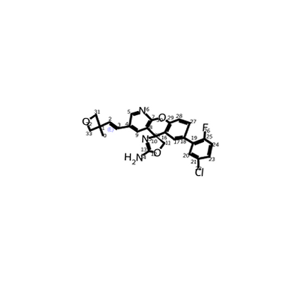 CC1(/C=C/c2cnc3c(c2)[C@]2(COC(N)=N2)c2cc(-c4cc(Cl)ccc4F)ccc2O3)COC1